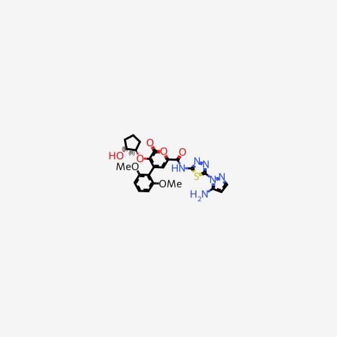 COc1cccc(OC)c1-c1cc(C(=O)Nc2nnc(-n3nccc3N)s2)oc(=O)c1O[C@@H]1CCC[C@H]1O